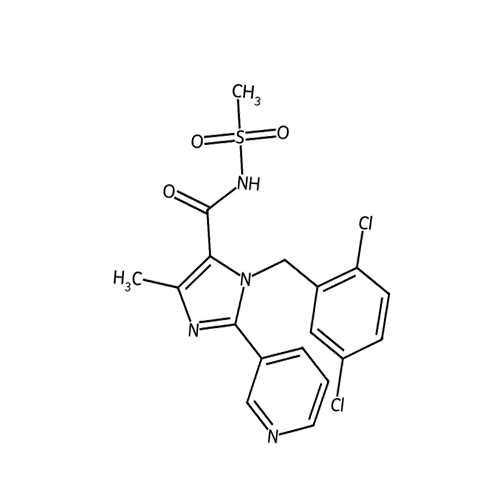 Cc1nc(-c2cccnc2)n(Cc2cc(Cl)ccc2Cl)c1C(=O)NS(C)(=O)=O